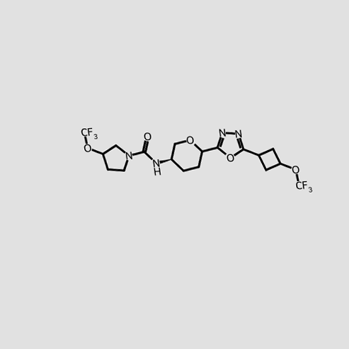 O=C(N[C@@H]1CCC(c2nnc(C3CC(OC(F)(F)F)C3)o2)OC1)N1CCC(OC(F)(F)F)C1